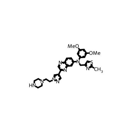 COc1cc(OC)cc(N(Cc2csc(C)n2)c2ccc3ncc(-c4cnn(CCN5CCNCC5)c4)nc3c2)c1